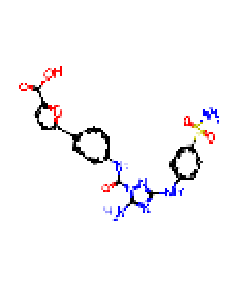 Nc1nc(Nc2ccc(S(N)(=O)=O)cc2)nn1C(=O)Nc1ccc(-c2ccc(C(=O)O)o2)cc1